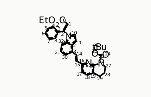 CCOC(=O)C=C(c1ccccc1)n1ccc2c(C=Cc3ccc4c(n3)N(C(=O)OC(C)(C)C)CCC4)cccc21